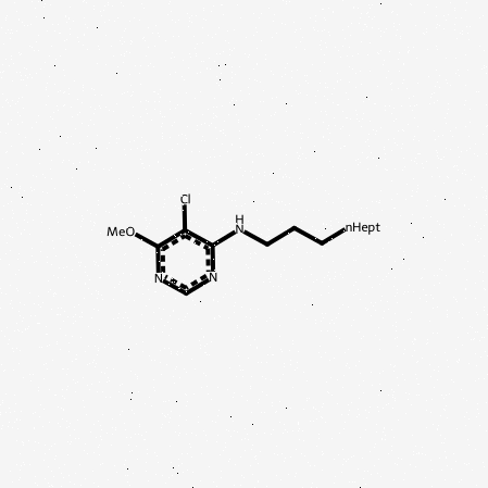 CCCCCCCCCCNc1ncnc(OC)c1Cl